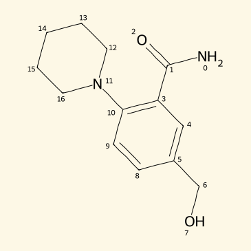 NC(=O)c1cc(CO)ccc1N1CCCCC1